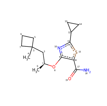 C[C@@H](CC1(C)CCC1)Oc1nc(C2CC2)sc1C(N)=O